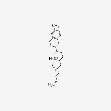 C=CCC[C@@H]1CC[C@@H]2CC(C3CCc4cc(C)ccc4C3)CCC2C1